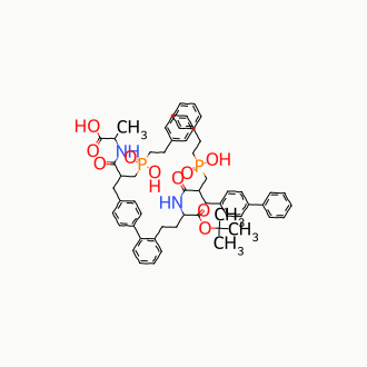 CC(NC(=O)C(Cc1ccc(-c2ccccc2CCC(NC(=O)C(Cc2ccc(-c3ccccc3)cc2)CP(=O)(O)CCc2ccccc2)C(=O)OC(C)(C)C)cc1)CP(=O)(O)CCc1ccccc1)C(=O)O